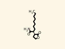 CCCCCCCCC(C(N)=O)[C@@H]1CCOC1=O